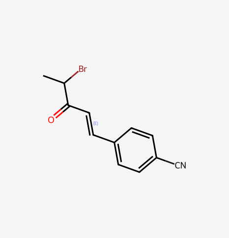 CC(Br)C(=O)/C=C/c1ccc(C#N)cc1